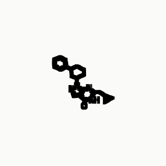 O=c1[nH]c(CC2CC2)nc2c1cnn2C1CCCC(c2ccccc2)C1